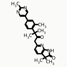 Cc1ncc(-c2ccc(C(C)(C)C(=O)Cc3ccc4c(n3)NC(=O)C4(C)C)c(C)c2)cn1